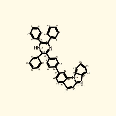 c1ccc(C2=C(c3ccccc3)NC(c3ccccc3)C(c3ccc(-c4ccc5ccc6nc7ccccc7n6c5c4)cc3)=N2)cc1